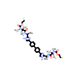 CN(C(=O)OCCF)C(C)(C)C(=O)NC(c1nc(-c2ccc(-c3ccc(-c4c[nH]c(C(NC(=O)C(C)(C)N(C)C(=O)OCCF)C(C)(C)C)n4)cc3)cc2)c[nH]1)C(C)(C)C